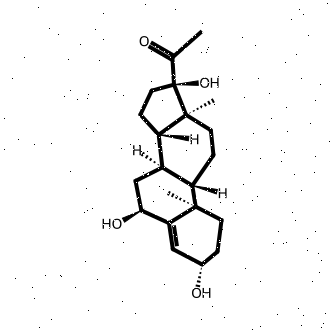 CC(=O)[C@@]1(O)CC[C@H]2[C@@H]3C[C@H](O)C4=C[C@@H](O)CC[C@]4(C)[C@H]3CC[C@@]21C